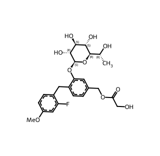 COc1ccc(Cc2ccc(COC(=O)CO)cc2O[C@@H]2O[C@H]([C@@H](C)O)[C@@H](O)[C@H](O)[C@H]2O)c(F)c1